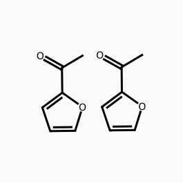 CC(=O)c1ccco1.CC(=O)c1ccco1